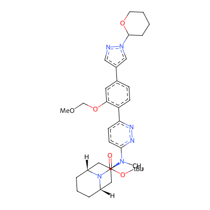 COCOc1cc(-c2cnn(C3CCCCO3)c2)ccc1-c1ccc(N(C)[C@@H]2C[C@H]3CCC[C@@H](C2)N3C(=O)OC(C)(C)C)nn1